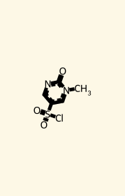 Cn1cc(S(=O)(=O)Cl)cnc1=O